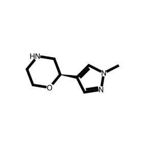 Cn1cc([C@@H]2CNCCO2)cn1